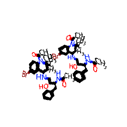 CC(=O)N[C@@H](Cc1ccccc1)[C@H](O)CN[C@@H]1CC(C)(C)N(C(C)=O)c2ccc(Br)cc21.CC(=O)N[C@@H](Cc1ccccc1)[C@H](O)CN[C@H]1CC(C)(C)N(C(C)=O)c2ccc(Br)cc21